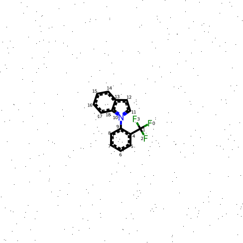 FC(F)(F)c1c[c]ccc1-n1ccc2ccccc21